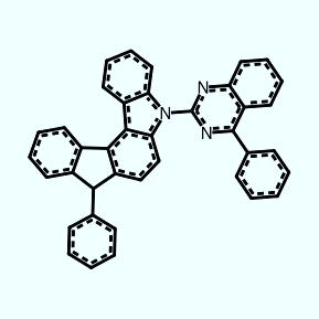 c1ccc(-c2nc(-n3c4ccccc4c4c5c(ccc43)C(c3ccccc3)c3ccccc3-5)nc3ccccc23)cc1